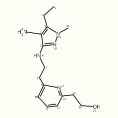 CCc1c(N)c(NCCc2cccc(CCO)n2)nn1C